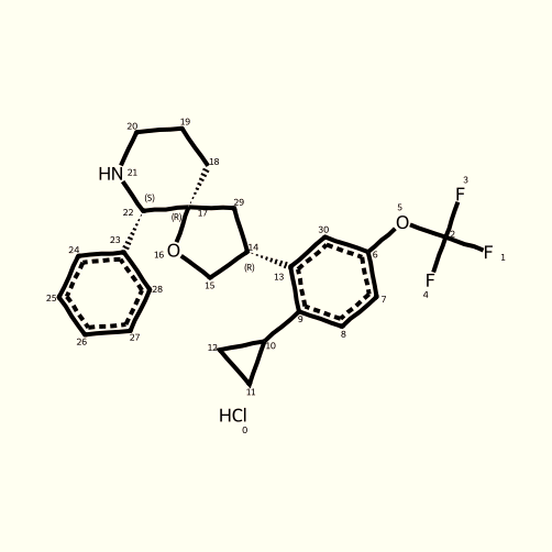 Cl.FC(F)(F)Oc1ccc(C2CC2)c([C@@H]2CO[C@]3(CCCN[C@H]3c3ccccc3)C2)c1